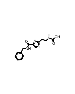 O=C(O)NCCc1nc(C(=O)NCc2ccccc2)cs1